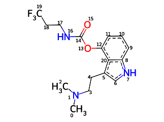 CN(C)CCc1c[nH]c2cccc(OC(=O)NCCC(F)(F)F)c12